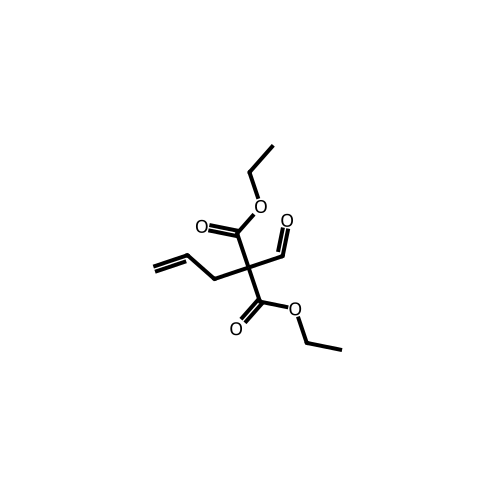 C=CCC(C=O)(C(=O)OCC)C(=O)OCC